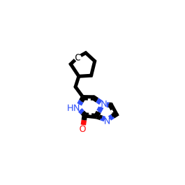 O=c1[nH]c(CC2CCCCC2)cn2ccnc12